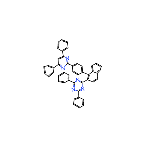 c1ccc(-c2cc(-c3ccccc3)nc(-c3ccc(-c4c(-c5nc(-c6ccccc6)nc(-c6ccccc6)n5)ccc5ccccc45)cc3)n2)cc1